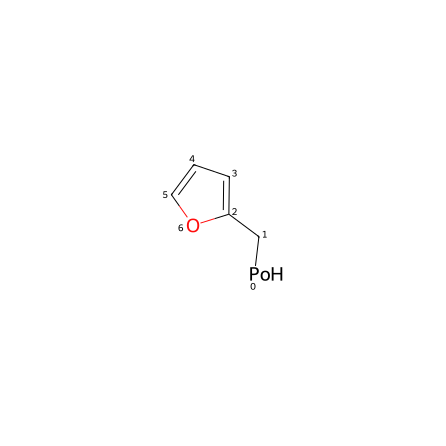 [PoH][CH2]c1ccco1